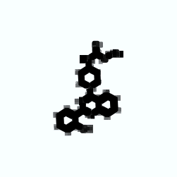 CC(C)(C)OC(=O)NC1CCN(c2nc(-c3ccccc3O)nc3ccccc23)CC1